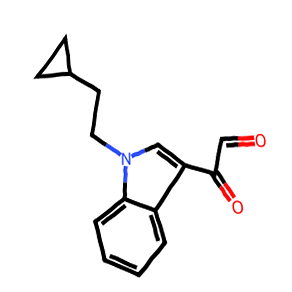 O=CC(=O)c1cn(CCC2CC2)c2ccccc12